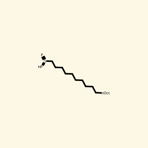 CCCCCCCCCCCCCCCCCCS(#P)=P